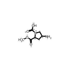 COC(=O)C1CC(N)CN1C(=O)O